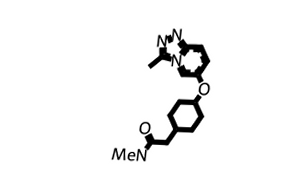 CNC(=O)CC1CCC(Oc2ccc3nnc(C)n3c2)CC1